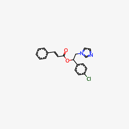 O=C(C=Cc1ccccc1)OC(Cn1ccnc1)c1ccc(Cl)cc1